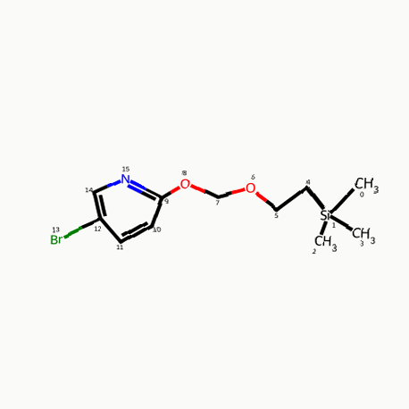 C[Si](C)(C)CCOCOc1ccc(Br)cn1